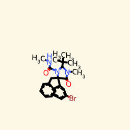 CNC(=O)N1C(C(C)(C)C)N(C)C(=O)C1(Cc1ccccc1)c1cccc(Br)c1